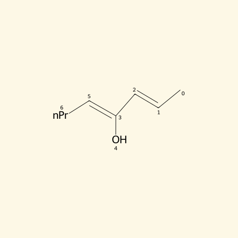 CC=CC(O)=CCCC